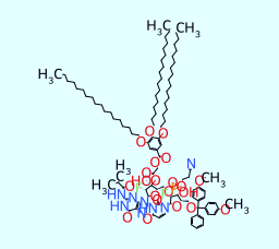 CCCCCCCCCCCCCCCCCCOc1cc(C(=O)OCC(=O)O[C@@]2(O)[C@@H](COP(=O)(OCCC#N)[C@@]3(O)[C@@H](COC(c4ccccc4)(c4ccc(OC)cc4)c4ccc(OC)cc4)O[C@@H](n4ccc(=O)[nH]c4=O)[C@@H]3F)O[C@@H](n3cnc4c(=O)[nH]c(NC(=O)C(C)C)nc43)[C@@H]2F)cc(OCCCCCCCCCCCCCCCCCC)c1OCCCCCCCCCCCCCCCCCC